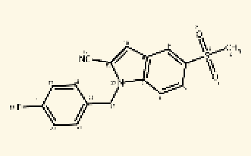 CS(=O)(=O)c1ccc2c(c1)cc(C#N)n2Cc1ccc(F)cc1